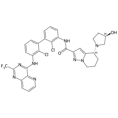 O=C(Nc1cccc(-c2cccc(Nc3nc(C(F)(F)F)nc4cccnc34)c2Cl)c1Cl)c1cc2n(n1)CCC[C@H]2N1CC[C@@H](O)C1